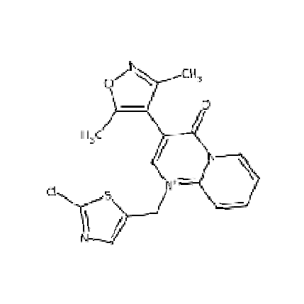 Cc1noc(C)c1-c1c[n+](Cc2cnc(Cl)s2)c2ccccn2c1=O